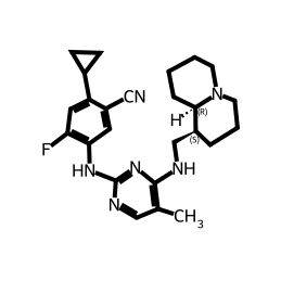 Cc1cnc(Nc2cc(C#N)c(C3CC3)cc2F)nc1NC[C@@H]1CCCN2CCCC[C@H]12